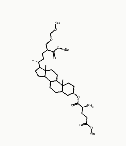 C[C@H](CCC(COCOC(C)(C)C)C(=O)OC(C)(C)C)C1CCC2C3CCC4C[C@H](OC(=O)[C@@H](N)CCC(=O)OC(C)(C)C)CCC4(C)C3CCC21C